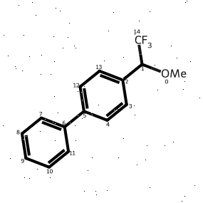 COC(c1ccc(-c2ccccc2)cc1)C(F)(F)F